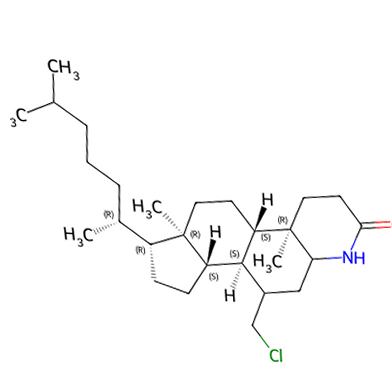 CC(C)CCC[C@@H](C)[C@H]1CC[C@H]2[C@@H]3C(CCl)CC4NC(=O)CC[C@]4(C)[C@H]3CC[C@]12C